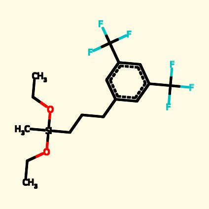 CCO[Si](C)(CCCc1cc(C(F)(F)F)cc(C(F)(F)F)c1)OCC